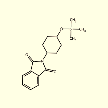 C[Si](C)(C)OC1CCC(N2C(=O)c3ccccc3C2=O)CC1